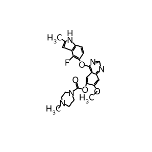 COc1cc2ncnc(Oc3ccc4[nH]c(C)cc4c3F)c2cc1OC(=O)N1CCN(C)CC1